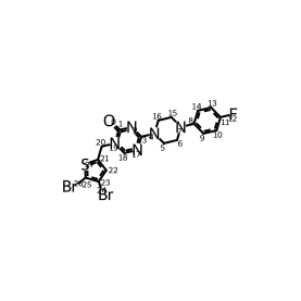 O=c1nc(N2CCN(c3ccc(F)cc3)CC2)ncn1Cc1cc(Br)c(Br)s1